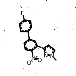 Cn1ccc(-c2cc(-c3ccc(F)cc3)ccc2[N+](=O)[O-])n1